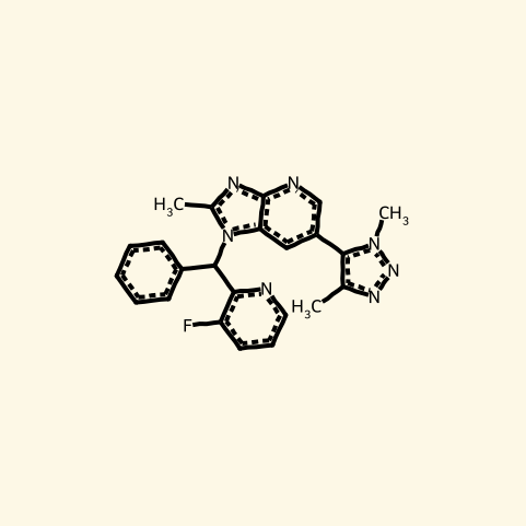 Cc1nnn(C)c1-c1cnc2nc(C)n(C(c3ccccc3)c3ncccc3F)c2c1